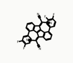 N#CC(C#N)=C1C2=C(C(=C(C#N)C#N)c3cccc(-c4ccc(F)c(F)c4)c32)c2c1cccc2-c1ccc(F)c(F)c1